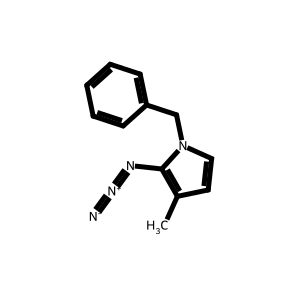 Cc1ccn(Cc2ccccc2)c1N=[N+]=[N-]